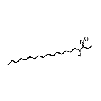 CCCCCCCCCCCCCCCCNC(CC)N=O